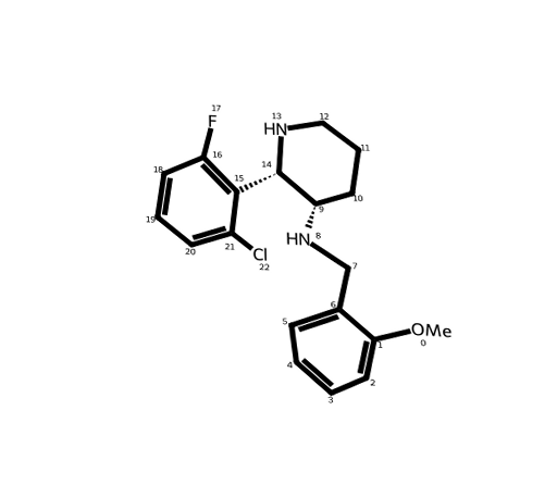 COc1ccccc1CN[C@H]1CCCN[C@H]1c1c(F)cccc1Cl